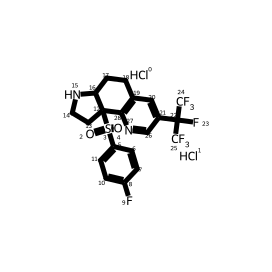 Cl.Cl.O=S(=O)(c1ccc(F)cc1)C12CCNC1CCc1cc(C(F)(C(F)(F)F)C(F)(F)F)cnc12